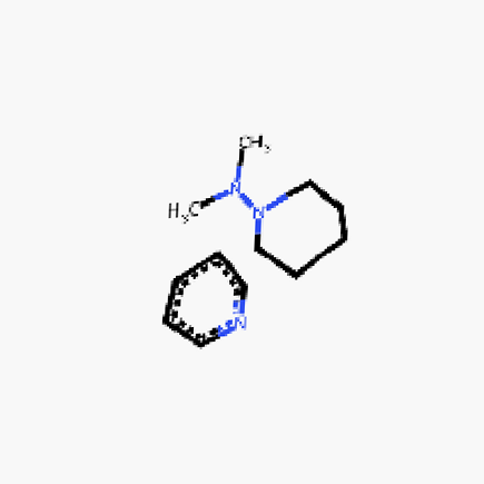 CN(C)N1CCCCC1.c1ccncc1